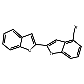 Brc1cccc2oc(-c3cc4ccccc4o3)cc12